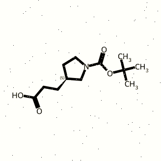 CC(C)(C)OC(=O)N1CC[C@H](CCC(=O)O)C1